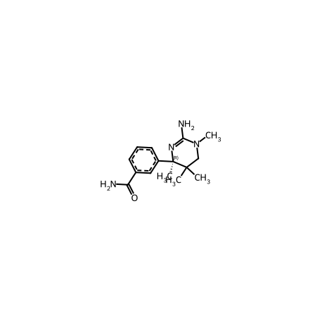 CN1CC(C)(C)[C@@](C)(c2cccc(C(N)=O)c2)N=C1N